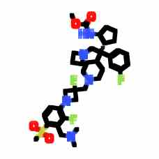 COC(=O)N[C@H]1CCC[C@@H]1C(CN1CCC1)(c1cccc(F)c1)C1CCN(CC2(F)CN(c3ccc(S(C)(=O)=O)c(CN(C)C)c3F)C2)CC1